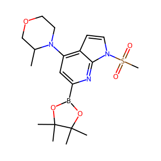 CC1COCCN1c1cc(B2OC(C)(C)C(C)(C)O2)nc2c1ccn2S(C)(=O)=O